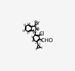 O=Cc1c(C2CC2)ccc(-n2nc(Br)c3ccccc32)c1Cl